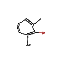 CC(=O)c1cccc(C)c1Br